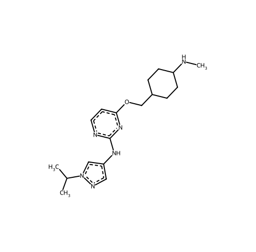 CNC1CCC(COc2ccnc(Nc3cnn(C(C)C)c3)n2)CC1